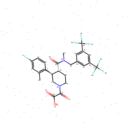 Cc1cc(F)ccc1[C@@H]1CN(C(=O)C(=O)O)CC[C@H]1C(=O)N(C)Cc1cc(C(F)(F)F)cc(C(F)(F)F)c1